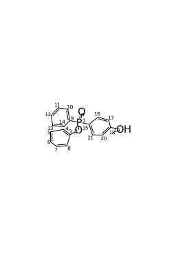 O=P(Oc1ccccc1)(c1ccccc1)c1ccc(O)cc1